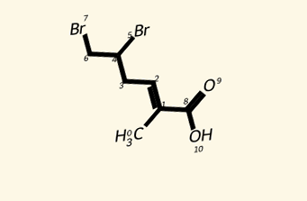 C/C(=C\CC(Br)CBr)C(=O)O